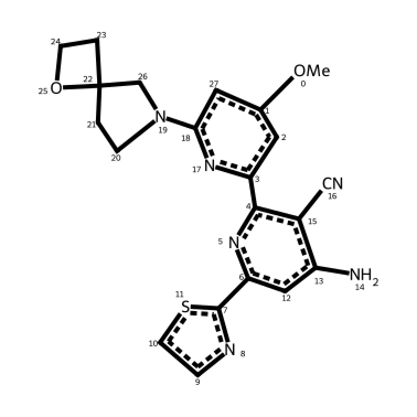 COc1cc(-c2nc(-c3nccs3)cc(N)c2C#N)nc(N2CCC3(CCO3)C2)c1